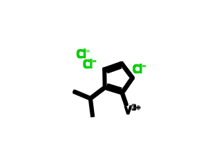 CC(C)C1=[C]([V+3])CC=C1.[Cl-].[Cl-].[Cl-]